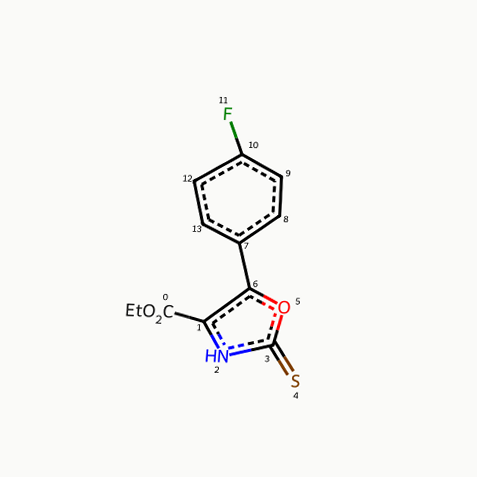 CCOC(=O)c1[nH]c(=S)oc1-c1ccc(F)cc1